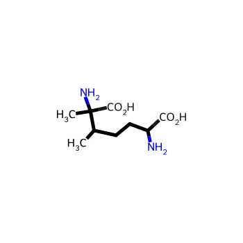 CC(CCC(N)C(=O)O)C(C)(N)C(=O)O